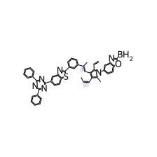 Bc1nc2cc(-n3c(C)c(/C=C\C)c(/C=C(\C)c4cccc(-c5nc6cc(-c7nc(-c8ccccc8)nc(-c8ccccc8)n7)ccc6s5)c4)c3C=C)ccc2o1